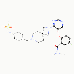 CC(C)N(C(=O)c1cc(F)ccc1Oc1cncnc1N1CC2(CCN(CC3CCC(NS(C)(=O)=O)CC3)CC2)C1)C(C)C